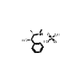 CN[C@@H](C)[C@H](O)c1ccccc1.O=S(=O)(O)O